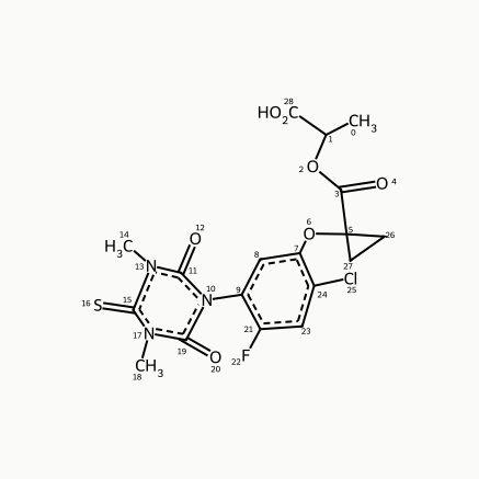 CC(OC(=O)C1(Oc2cc(-n3c(=O)n(C)c(=S)n(C)c3=O)c(F)cc2Cl)CC1)C(=O)O